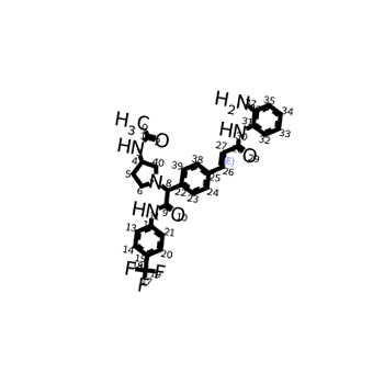 CC(=O)NC1CCN(C(C(=O)Nc2ccc(C(F)(F)F)cc2)c2ccc(/C=C/C(=O)Nc3ccccc3N)cc2)C1